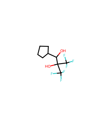 OC(C1CCCC1)C(O)(C(F)(F)F)C(F)(F)F